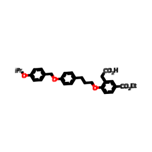 CCOC(=O)c1ccc(OCCCc2ccc(OCc3ccc(OC(C)C)cc3)cc2)c(CC(=O)O)c1